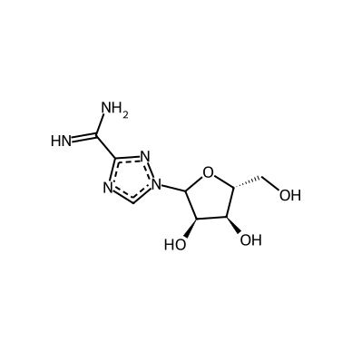 N=C(N)c1ncn(C2O[C@H](CO)[C@@H](O)[C@H]2O)n1